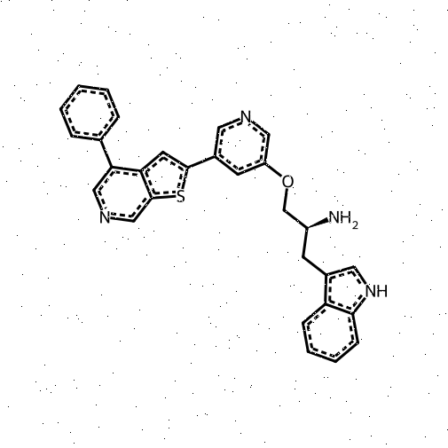 N[C@H](COc1cncc(-c2cc3c(-c4ccccc4)cncc3s2)c1)Cc1c[nH]c2ccccc12